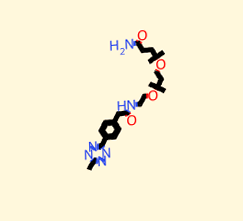 Cc1nnc(-c2ccc(CC(=O)NCCOC(C)(C)CCOC(C)(C)CCC(N)=O)cc2)nn1